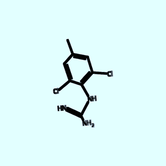 Cc1cc(Cl)c(NC(=N)N)c(Cl)c1